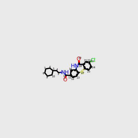 O=C(NCCC1CCCCC1)c1ccc2c(c1)NC(=O)c1cc(Cl)ccc1S2